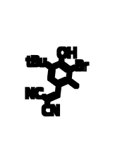 Cc1c(C=C(C#N)C#N)cc(C(C)(C)C)c(O)c1Br